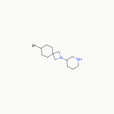 CC(C)C1CCC2(CC1)CN(C1CCCNC1)C2